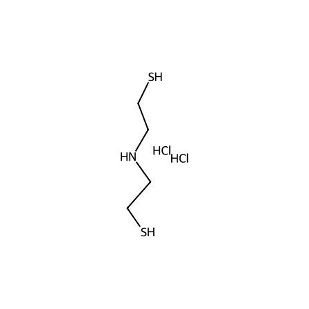 Cl.Cl.SCCNCCS